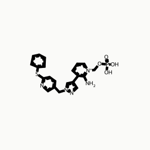 Nc1c(-c2cnn(Cc3ccc(Sc4ccccc4)nc3)c2)ccc[n+]1COP(=O)(O)O